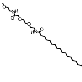 COCCNC(=O)COCCOCCNC(=O)CCCCCCCCCCCCCCCc1nnn[nH]1